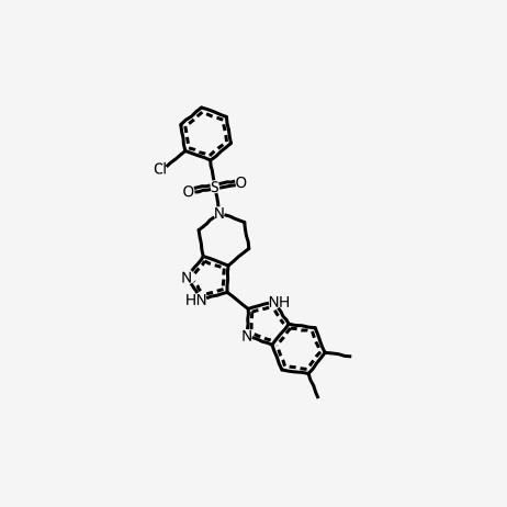 Cc1cc2nc(-c3[nH]nc4c3CCN(S(=O)(=O)c3ccccc3Cl)C4)[nH]c2cc1C